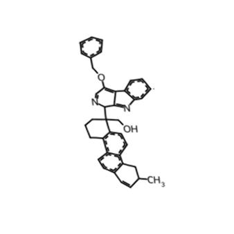 CC1C=Cc2ccc3c4c(ccc3c2C1)C(CO)(C1N=CC(OCc2ccccc2)=C2C1=Nc1c[c]ccc12)CCC4